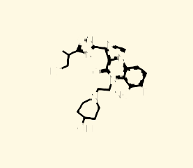 CC(CO)c1nc(-c2ncn3c2c(=O)n(CCN2CCC(O)CC2)c2c(C#N)c(F)ccc23)no1